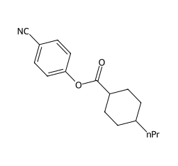 CCCC1CCC(C(=O)Oc2ccc(C#N)cc2)CC1